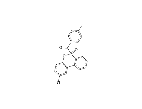 Cc1ccc(C(=O)P2(=O)Oc3ccc(Cl)cc3-c3ccccc32)cc1